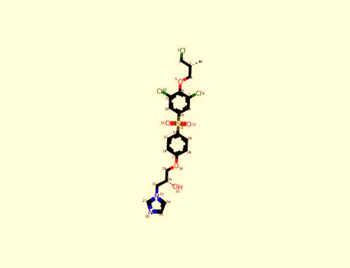 C[C@@H](CCl)COc1c(Cl)cc(S(=O)(=O)c2ccc(OC[C@H](O)Cn3ccnc3)cc2)cc1Cl